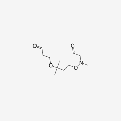 CN(CC=O)OCCC(C)(C)OCCC=O